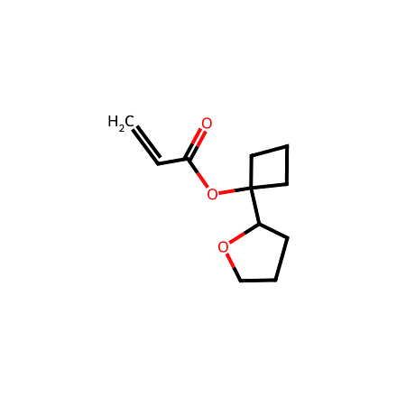 C=CC(=O)OC1(C2CCCO2)CCC1